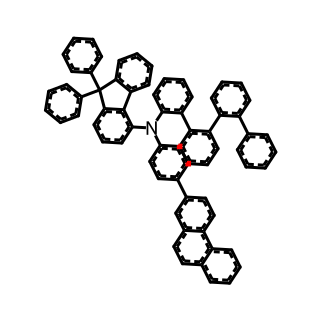 c1ccc(-c2ccccc2-c2ccccc2-c2ccccc2N(c2ccc(-c3ccc4c(ccc5ccccc54)c3)cc2)c2cccc3c2-c2ccccc2C3(c2ccccc2)c2ccccc2)cc1